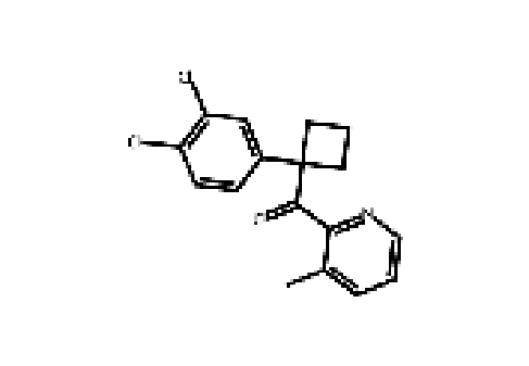 Cc1cccnc1C(=O)C1(c2ccc(Cl)c(Cl)c2)CCC1